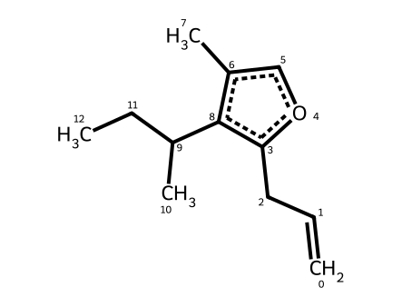 C=CCc1occ(C)c1C(C)CC